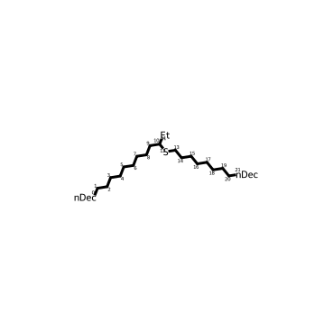 CCCCCCCCCCCCCCCCCCCC(CC)SCCCCCCCCCCCCCCCCCC